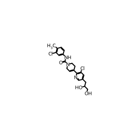 Cc1ccc(NC(=O)N2CC=C(c3ncc(CC(O)CO)cc3Cl)CC2)cc1Cl